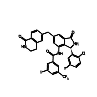 O=C(Nc1cc(Cc2ccc3c(c2)CCNC3=O)cc2c1[C@@H](c1cc(F)ccc1Cl)NC2=O)c1cc(F)cc(C(F)(F)F)c1